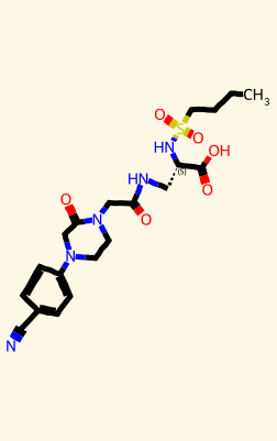 CCCCS(=O)(=O)N[C@@H](CNC(=O)CN1CCN(c2ccc(C#N)cc2)CC1=O)C(=O)O